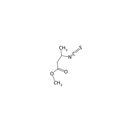 COC(=O)CC(C)N=C=S